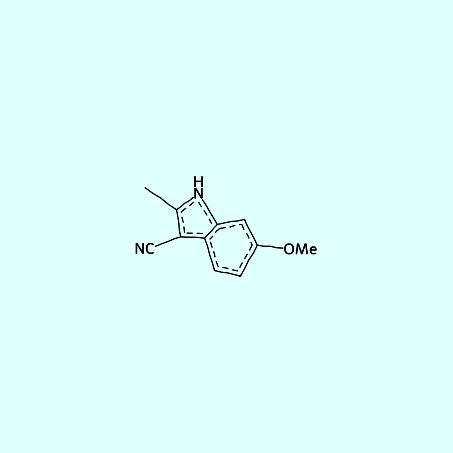 COc1ccc2c(C#N)c(C)[nH]c2c1